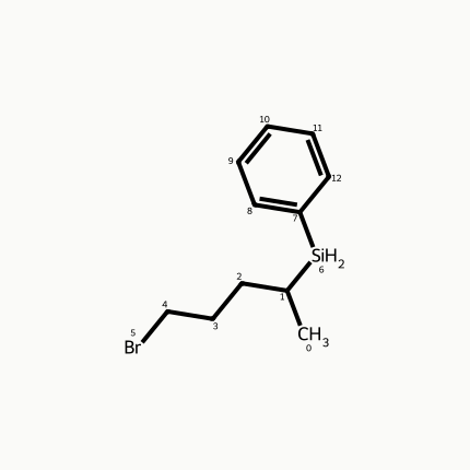 CC(CCCBr)[SiH2]c1ccccc1